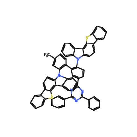 FC(F)(F)c1ccc(-c2cc(-c3nc(-c4ccccc4)nc(-c4ccccc4)n3)ccc2-n2c3ccccc3c3c4sc5ccccc5c4ccc32)c(-n2c3ccccc3c3c4sc5ccccc5c4ccc32)c1